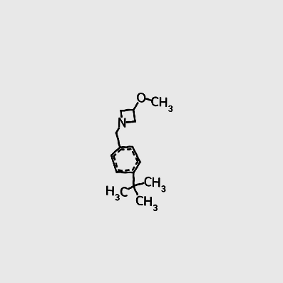 COC1CN(Cc2ccc(C(C)(C)C)cc2)C1